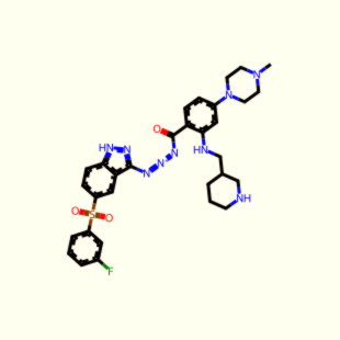 CN1CCN(c2ccc(C(=O)N=[N+]=Nc3n[nH]c4ccc(S(=O)(=O)c5cccc(F)c5)cc34)c(NCC3CCCNC3)c2)CC1